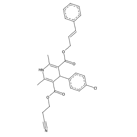 CC1=C(C(=O)OCC=Cc2ccccc2)C(c2ccc(Cl)cc2)C(C(=O)OCCC#N)=C(C)N1